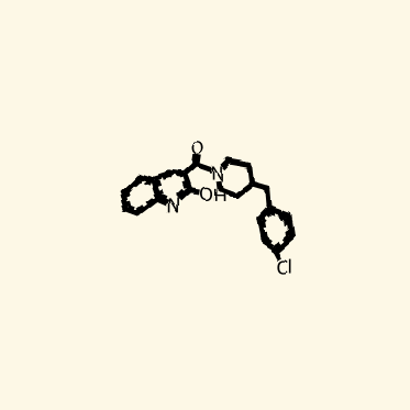 O=C(c1cc2ccccc2nc1O)N1CCC(Cc2ccc(Cl)cc2)CC1